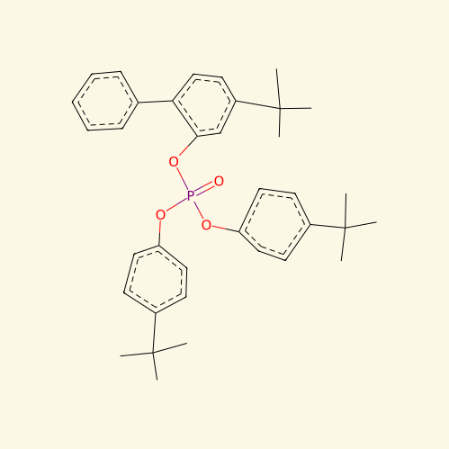 CC(C)(C)c1ccc(OP(=O)(Oc2ccc(C(C)(C)C)cc2)Oc2cc(C(C)(C)C)ccc2-c2ccccc2)cc1